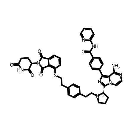 Nc1nccn2c([C@@H]3CCCN3CCc3ccc(CCSc4cccc5c4C(=O)N(C4CCC(=O)NC4=O)C5=O)cc3)nc(-c3ccc(C(=O)Nc4ccccn4)cc3)c12